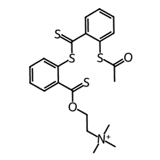 CC(=O)Sc1ccccc1C(=S)Sc1ccccc1C(=S)OCC[N+](C)(C)C